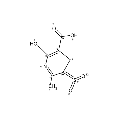 CC1=NC(O)=C(C(=O)O)CC1=S(=O)=O